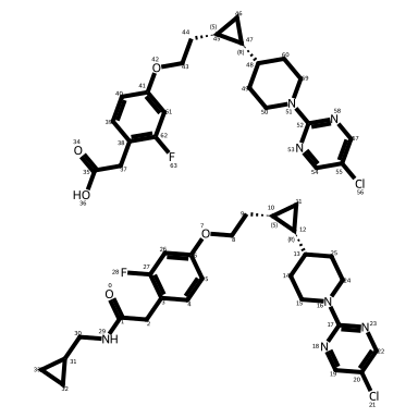 O=C(Cc1ccc(OCC[C@@H]2C[C@@H]2C2CCN(c3ncc(Cl)cn3)CC2)cc1F)NCC1CC1.O=C(O)Cc1ccc(OCC[C@@H]2C[C@@H]2C2CCN(c3ncc(Cl)cn3)CC2)cc1F